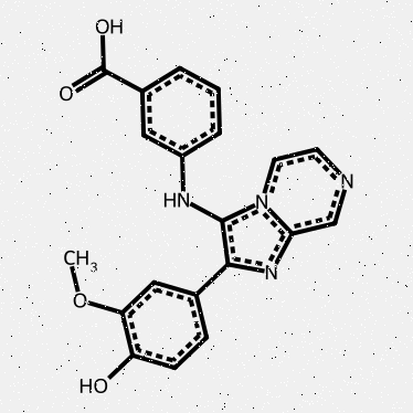 COc1cc(-c2nc3cnccn3c2Nc2cccc(C(=O)O)c2)ccc1O